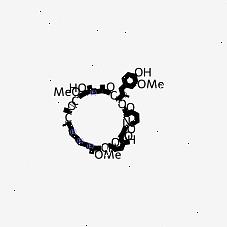 COC1CC(C[C@@H](C)[C@@H]2CC(=O)C(C)/C=C(\C)[C@@H](O)C(OC)COC(C)C[C@H](C)/C=C/C=C/C=C(\C)[C@@H](OC)C[C@@H]3CCC(C)C(O)(O3)C(=O)C(=O)N3CCCCC3C(=O)O2)CC[C@H]1O